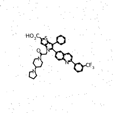 O=C(O)c1cc2c(s1)c(-c1ccccc1)c(-c1ccc3nc(-c4cccc(C(F)(F)F)c4)ccc3c1)n2CC(=O)N1CCC(N2CCCC2)CC1